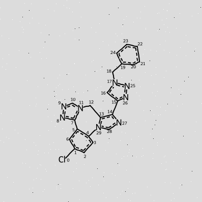 Clc1ccc2c(c1)-c1nncn1Cc1c(-c3cn(Cc4ccccc4)nn3)ncn1-2